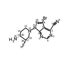 N#Cc1ncnc2c1c(Br)nn2N1CC[C@@H](N)[C@H](F)C1